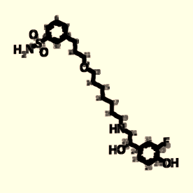 NS(=O)(=O)c1cccc(CCCOCCCCCCCNC[C@@H](O)c2ccc(O)c(F)c2)c1